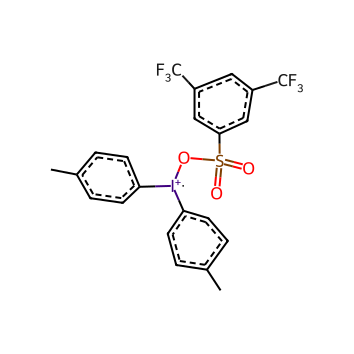 Cc1ccc([I+](OS(=O)(=O)c2cc(C(F)(F)F)cc(C(F)(F)F)c2)c2ccc(C)cc2)cc1